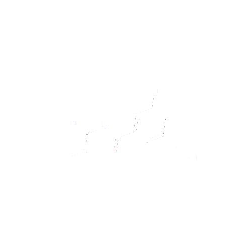 C#Cc1cc(C(=O)NC(=N)NC(=O)O)cc(C(F)(F)F)c1